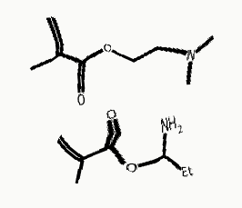 C=C(C)C(=O)OC(N)CC.C=C(C)C(=O)OCCN(C)C